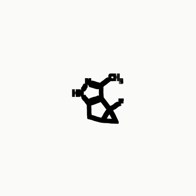 Cc1n[nH]c2c1C1(F)CC1C2